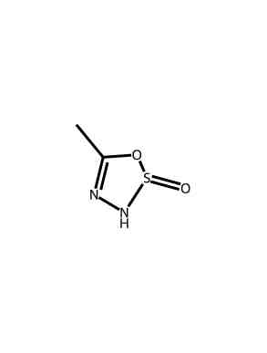 CC1=NNS(=O)O1